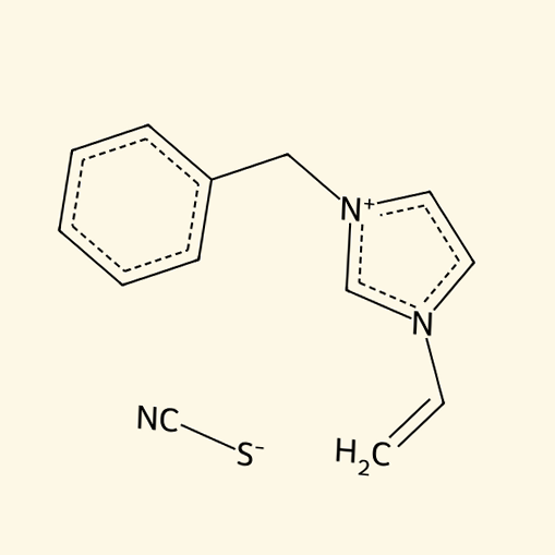 C=Cn1cc[n+](Cc2ccccc2)c1.N#C[S-]